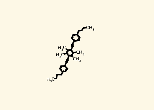 CCCCc1ccc(C#Cc2c(C)c(C)c(C#Cc3ccc(CCCC)cc3)c(C)c2C)cc1